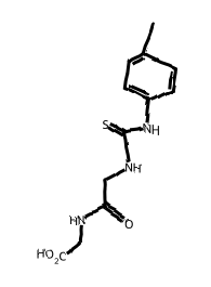 Cc1ccc(NC(=S)NCC(=O)NCC(=O)O)cc1